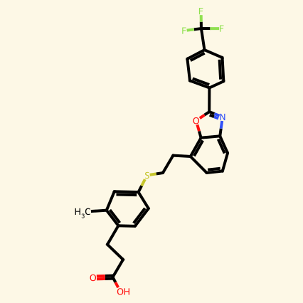 Cc1cc(SCCc2cccc3nc(-c4ccc(C(F)(F)F)cc4)oc23)ccc1CCC(=O)O